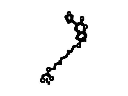 CCC(=O)OCCSCCSCCOc1cc2cc(-c3ccoc3)c(=O)oc2cn1